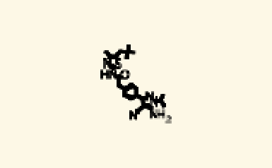 Cc1nc(NC(=O)Cc2ccc(-c3nn(C(C)C)c(N)c3C#N)cc2)sc1CC(C)(C)C